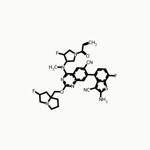 C=CC(=O)N1CC(F)C(N(C)c2nc(OCC34CCCN3CC(F)C4)nc3cc(-c4ccc(F)c5sc(N)c(C#N)c45)c(C#N)cc23)C1